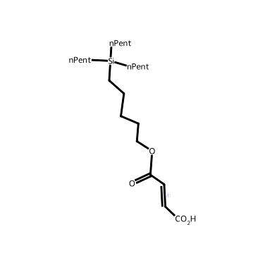 CCCCC[Si](CCCCC)(CCCCC)CCCCCOC(=O)/C=C/C(=O)O